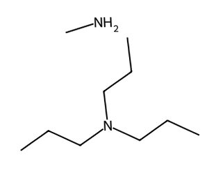 CCCN(CCC)CCC.CN